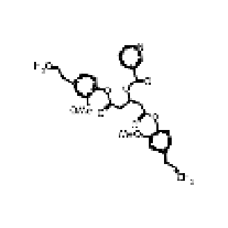 C=CCc1ccc(OC(=O)CC(CC(=O)Oc2ccc(CC=C)cc2OC)OC(=O)c2cccnc2)c(OC)c1